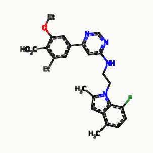 CCOc1cc(-c2cc(NCCn3c(C)cc4c(C)ccc(F)c43)ncn2)cc(CC)c1C(=O)O